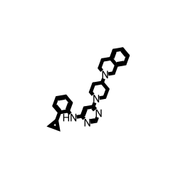 c1ccc2c(c1)CCN(C1CCN(c3cc(Nc4ccccc4C4CC4)ncn3)CC1)C2